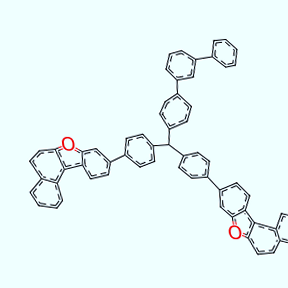 c1ccc(-c2cccc(-c3ccc(C(c4ccc(-c5ccc6c(c5)oc5ccc7ccccc7c56)cc4)c4ccc(-c5ccc6c(c5)oc5ccc7ccccc7c56)cc4)cc3)c2)cc1